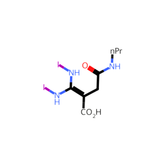 CCCNC(=O)CC(C(=O)O)=C(NI)NI